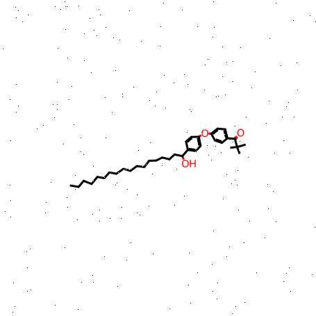 CCCCCCCCCCCCCCCCCC(O)c1ccc(Oc2ccc(C(=O)C(C)(C)C)cc2)cc1